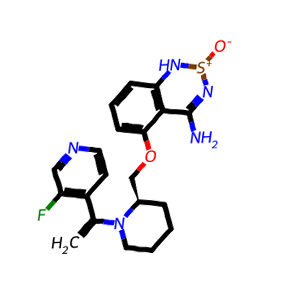 C=C(c1ccncc1F)N1CCCC[C@@H]1COc1cccc2c1C(N)=N[S+]([O-])N2